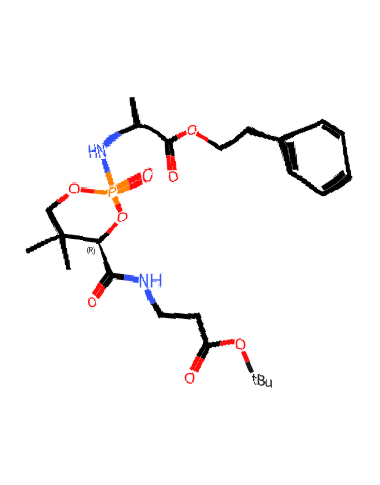 CC(NP1(=O)OCC(C)(C)[C@H](C(=O)NCCC(=O)OC(C)(C)C)O1)C(=O)OCCc1ccccc1